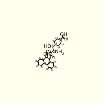 CN(C(=O)[C@@H](N)[C@H](O)C1CCN(C(=O)O)CC1)[C@H](c1ccccc1)[C@H](O)c1ccccc1